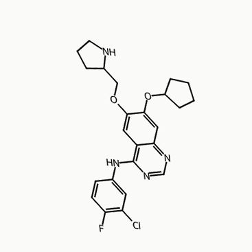 Fc1ccc(Nc2ncnc3cc(OC4CCCC4)c(OCC4CCCN4)cc23)cc1Cl